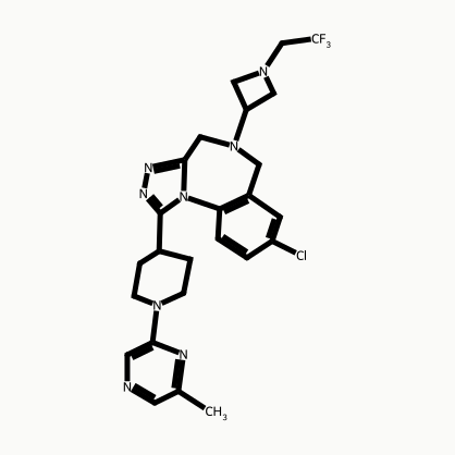 Cc1cncc(N2CCC(c3nnc4n3-c3ccc(Cl)cc3CN(C3CN(CC(F)(F)F)C3)C4)CC2)n1